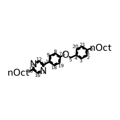 CCCCCCCCc1ccc(COc2ccc(-c3cnc(CCCCCCCC)cn3)cc2)cc1